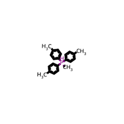 Cc1ccc([PH](C)(c2ccc(C)cc2)c2ccc(C)cc2)cc1